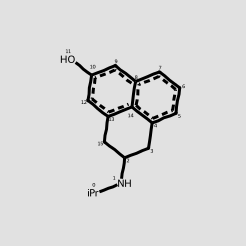 CC(C)NC1Cc2cccc3cc(O)cc(c23)C1